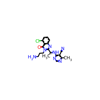 Cc1ncnc(N[C@@H](C)c2nc3cccc(Cl)c3c(=O)n2CCCN)c1C#N